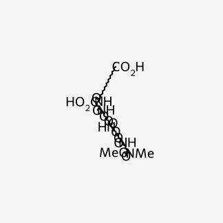 CNC(CCCCNC(=O)COCCOCCNC(=O)COCCOCCNC(=O)CCC(NC(=O)CCCCCCCCCCCCCCCCC(=O)O)C(=O)O)C(=O)OC